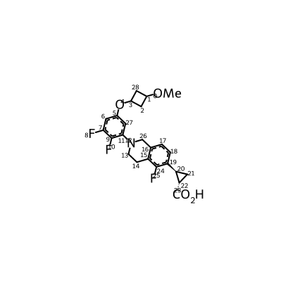 COC1CC(Oc2cc(F)c(F)c(N3CCc4c(ccc([C@H]5C[C@@H]5C(=O)O)c4F)C3)c2)C1